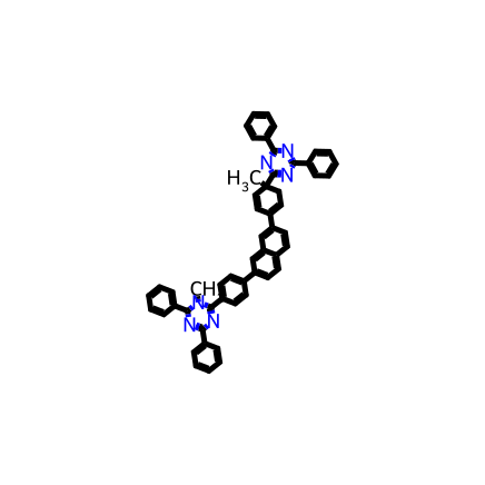 CN1C(c2ccc(-c3ccc4ccc(C5=CCC(C)(c6nc(-c7ccccc7)nc(-c7ccccc7)n6)C=C5)cc4c3)cc2)=NC(c2ccccc2)=NC1c1ccccc1